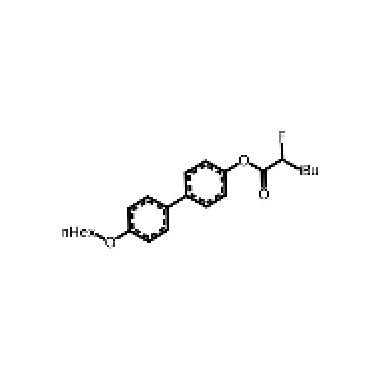 CCCCCCOc1ccc(-c2ccc(OC(=O)C(F)C(C)CC)cc2)cc1